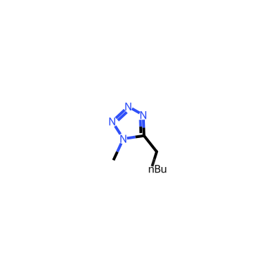 [CH2]CCCCc1nnnn1C